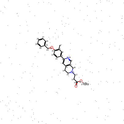 Cc1cc(-c2cc3c(cn2)CN(CCC(=O)OC(C)(C)C)CC3)ccc1OCc1ccccc1